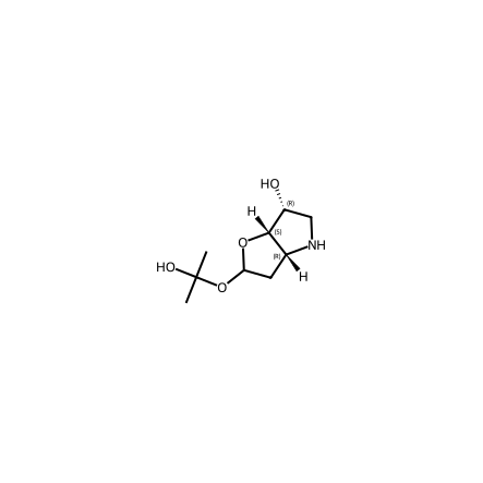 CC(C)(O)OC1C[C@H]2NC[C@@H](O)[C@H]2O1